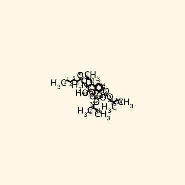 CCCCCC(=O)OC(C)CC(c1ccc(OC(=O)OCC(C)CC)c(OC(=O)OCC(C)CC)c1)[C@H](N)C(=O)O